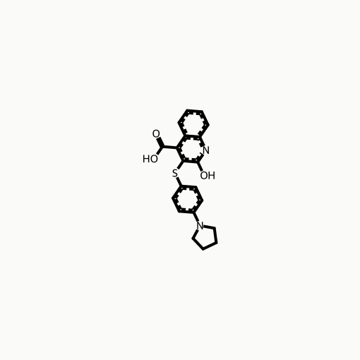 O=C(O)c1c(Sc2ccc(N3CCCC3)cc2)c(O)nc2ccccc12